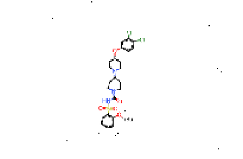 CCCCOc1ccccc1S(=O)(=O)NC(=O)N1CCC(N2CCC(Oc3ccc(Cl)c(Cl)c3)CC2)CC1